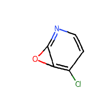 Clc1ccnc2c1O2